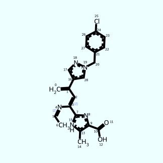 C=C(/C=C(\N=C/C)c1nc(C(=O)O)c(C)[nH]1)c1cnn(Cc2ccc(Cl)cc2)c1